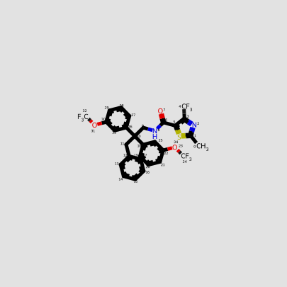 Cc1nc(C(F)(F)F)c(C(=O)NCC(Cc2ccccc2)(c2cccc(OC(F)(F)F)c2)c2cccc(OC(F)(F)F)c2)s1